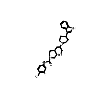 O=C(Nc1ccc(Cl)c(Cl)c1)N1CCC(CC(CO)N2CCC(c3c[nH]c4ccccc34)CC2)CC1